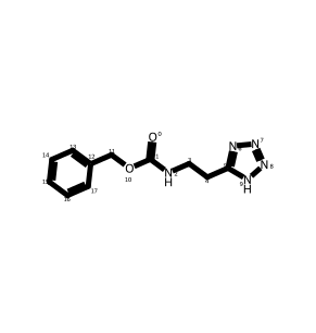 O=C(NCCc1nnn[nH]1)OCc1ccccc1